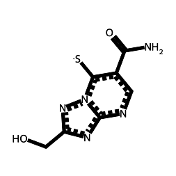 NC(=O)c1cnc2nc(CO)nn2c1[S]